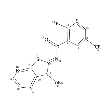 CCCCn1/c(=N/C(=O)c2cc(C(F)(F)F)ccc2F)sc2nccnc21